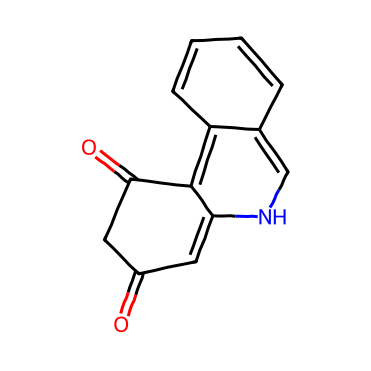 O=C1C=C2NC=c3ccccc3=C2C(=O)C1